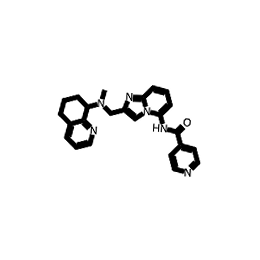 CN(Cc1cn2c(NC(=O)c3ccncc3)cccc2n1)C1CCCc2cccnc21